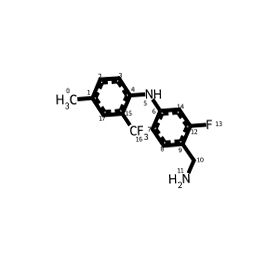 Cc1ccc(Nc2ccc(CN)c(F)c2)c(C(F)(F)F)c1